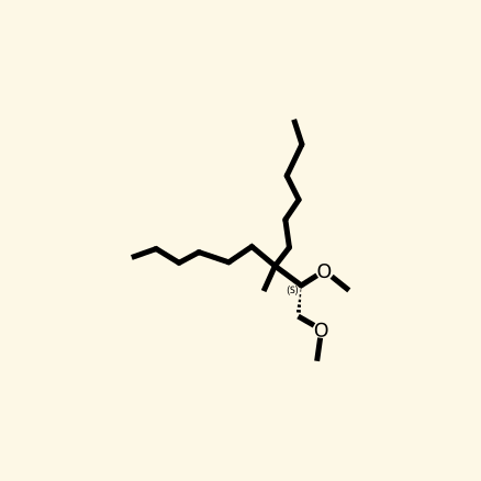 CCCCCCC(C)(CCCCCC)[C@@H](COC)OC